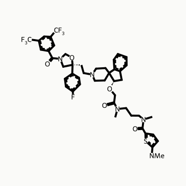 CNc1ccc(C(=O)N(C)CCCN(C)C(=O)CO[C@H]2Cc3ccccc3C23CCN(CC[C@]2(c4ccc(F)cc4)CN(C(=O)c4cc(C(F)(F)F)cc(C(F)(F)F)c4)CO2)CC3)s1